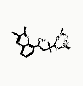 C[SiH2]OC(O[SiH2]C)C(C)(C)CC(O)c1cccc2cc(C)c(C)nc12